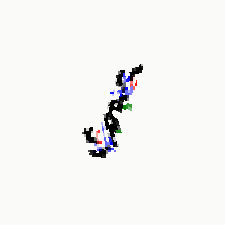 CCCC(=O)N1CCC[C@H]1c1ncc(-c2ccc(-c3ccc(-c4cnc([C@@H]5CCCN5C(=O)CC(C)C)[nH]4)c(F)c3)cc2F)[nH]1